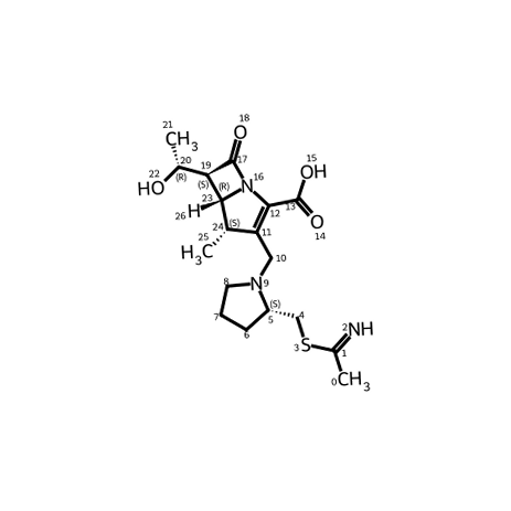 CC(=N)SC[C@@H]1CCCN1CC1=C(C(=O)O)N2C(=O)[C@H]([C@@H](C)O)[C@H]2[C@H]1C